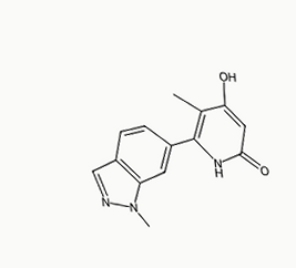 Cc1c(O)cc(=O)[nH]c1-c1ccc2cnn(C)c2c1